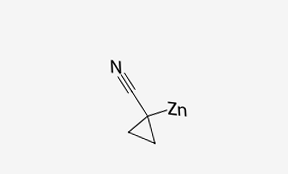 N#C[C]1([Zn])CC1